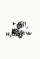 COC(=O)c1cccc2c1CN(c1nc(-c3ccc(C(C)(C)O)nc3)cc3ncn(C)c(=O)c13)CC2